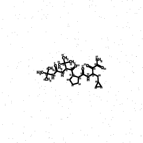 CC(C)(C)NC(=O)NC(C(=O)N1CCCC1C(=O)NC(CC1CC1)C(=O)C(N)=O)C(C)(C)C